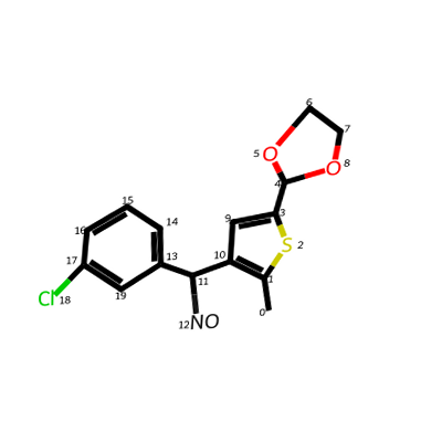 Cc1sc(C2OCCO2)cc1C(N=O)c1cccc(Cl)c1